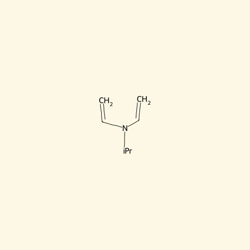 C=CN(C=C)C(C)C